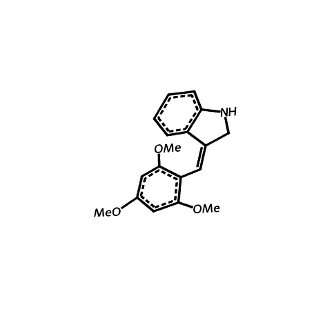 COc1cc(OC)c(/C=C2/CNc3ccccc32)c(OC)c1